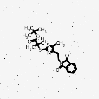 Cc1sc(SC(C)(C)C(=O)OC(C)(C)C)nc1CCN1C(=O)c2ccccc2C1=O